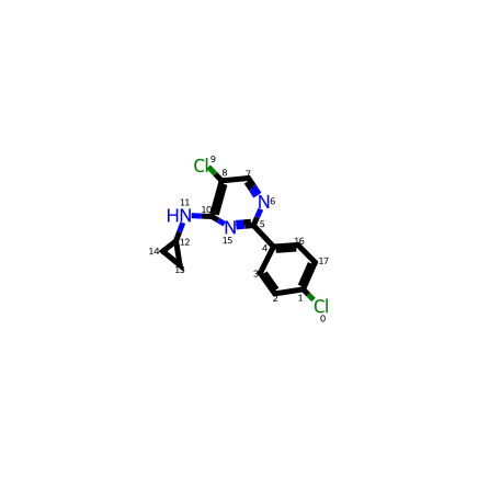 Clc1ccc(-c2ncc(Cl)c(NC3CC3)n2)cc1